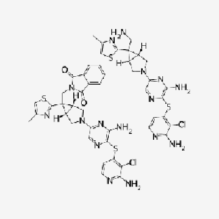 Cc1csc(C2(CN)[C@@H]3CN(c4cnc(Sc5ccnc(N)c5Cl)c(N)n4)C[C@@H]32)n1.Cc1csc(C2(CN3C(=O)c4ccccc4C3=O)[C@@H]3CN(c4cnc(Sc5ccnc(N)c5Cl)c(N)n4)C[C@@H]32)n1